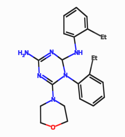 CCc1ccccc1NC1N=C(N)N=C(N2CCOCC2)N1c1ccccc1CC